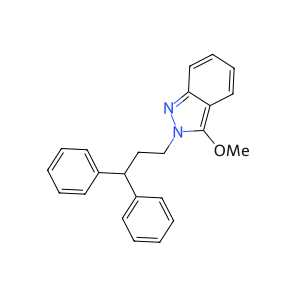 COc1c2ccccc2nn1CCC(c1ccccc1)c1ccccc1